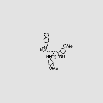 COc1ccc2[nH]cc(CN(CCc3cncn3Cc3ccc(C#N)cc3)C(=S)Nc3ccc(OC)nc3)c2c1